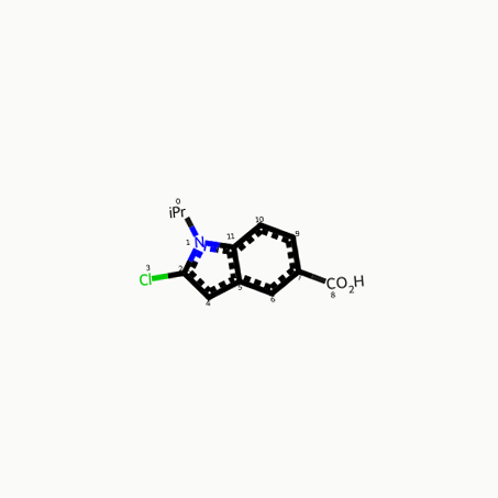 CC(C)n1c(Cl)cc2cc(C(=O)O)ccc21